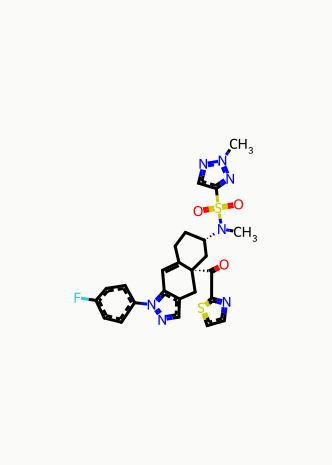 CN([C@H]1CCC2=Cc3c(cnn3-c3ccc(F)cc3)C[C@]2(C(=O)c2nccs2)C1)S(=O)(=O)c1cnn(C)n1